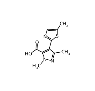 Cc1cnc(-c2c(C)nn(C)c2C(=O)O)s1